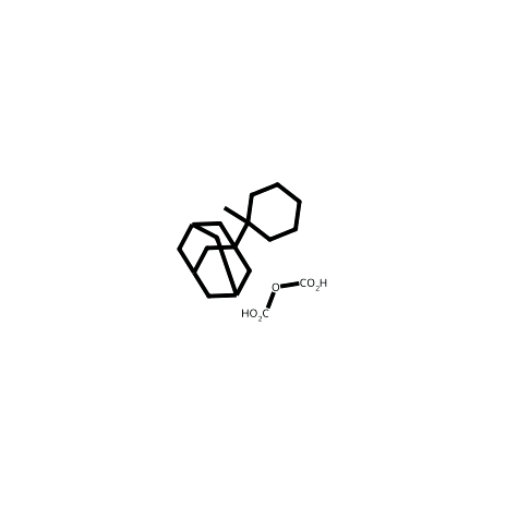 CC1(C23CC4CC(CC(C4)C2)C3)CCCCC1.O=C(O)OC(=O)O